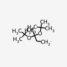 [CH2]CC(C)(OC(C)(C)C)OC(C)(C)C